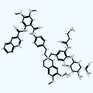 COc1cc2c(cc1OC)C[N+](CCc1ccc(NC(=O)c3cc(OC)c(OC)cc3NC(=O)c3cnc4ccccc4c3)cc1)(Cc1ccc(OC3O[C@H](C(=O)O)[C@@H](O)[C@H](O)[C@H]3O)c(NC(=O)CCN)c1)CC2